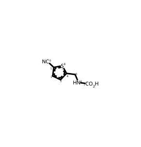 N#Cc1ccc(CNC(=O)O)s1